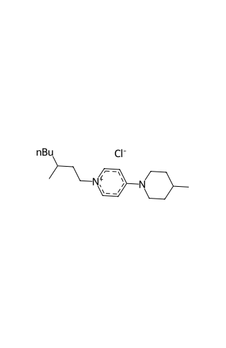 CCCCC(C)CC[n+]1ccc(N2CCC(C)CC2)cc1.[Cl-]